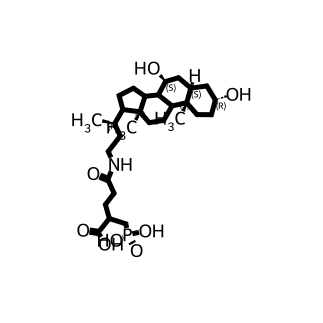 C[C@H](CCNC(=O)CCC(CP(=O)(O)O)C(=O)O)C1CCC2C3C(CC[C@@]21C)[C@@]1(C)CC[C@@H](O)C[C@H]1C[C@@H]3O